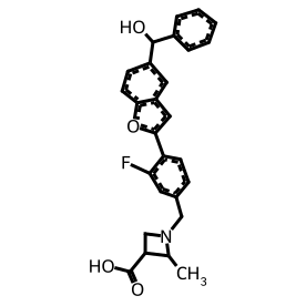 CC1C(C(=O)O)CN1Cc1ccc(-c2cc3cc(C(O)c4ccccc4)ccc3o2)c(F)c1